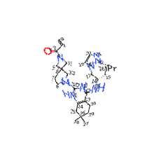 C=CC(=O)N1CC2(CCN(C3N=C(N[C@@H](CC(C)C)Cn4ccnn4)C4=C(CC(C)(C)CC4)N3)C2)C1